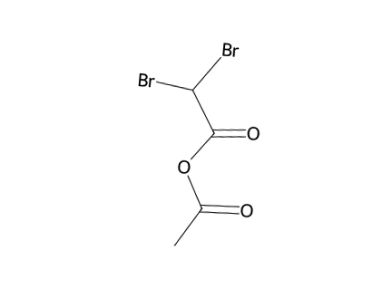 CC(=O)OC(=O)C(Br)Br